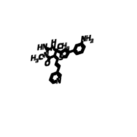 CN1C(=N)N[C@](C)(c2cc(-c3cccc(N)c3)cs2)C(C/C=C/c2cccnc2)C1=O